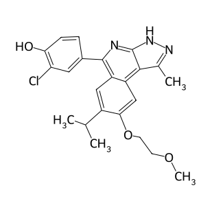 COCCOc1cc2c(cc1C(C)C)c(-c1ccc(O)c(Cl)c1)nc1[nH]nc(C)c12